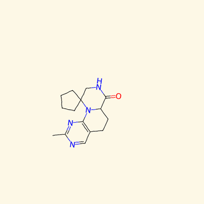 Cc1ncc2c(n1)N1C(CC2)C(=O)NCC12CCCC2